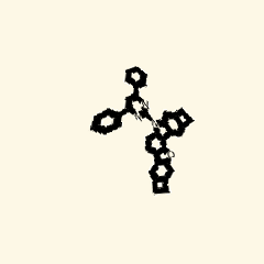 c1ccc(-c2cc(-c3ccccc3)nc(-n3c4cc5c(cc4c4c6oc7cc8c(cc7c6ccc43)CC8)CC5)n2)cc1